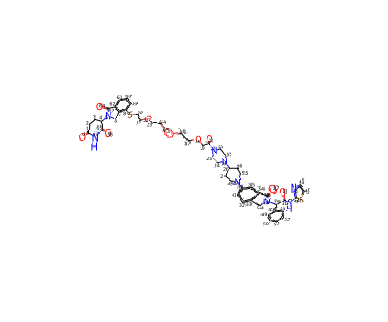 O=C1CCC(N2Cc3c(SCCOCCOCCOCC(=O)N4CCN(C5CCN(c6ccc7c(c6)C(=O)N(C(C(=O)Nc6nccs6)c6ccccc6)C7)CC5)CC4)cccc3C2=O)C(=O)N1